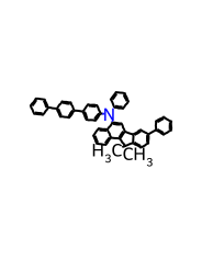 CC1(C)c2ccc(-c3ccccc3)cc2-c2cc(N(c3ccccc3)c3ccc(-c4ccc(-c5ccccc5)cc4)cc3)c3ccccc3c21